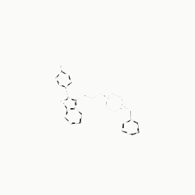 Clc1ccc(-c2nc3ccccn3c2CCCN2CCN(Cc3ccccc3)CC2)cc1